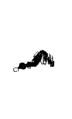 CN(C)CCCNC(=O)CC(C)(C)CN1C(=O)c2cc3oc(-c4ccc(Cl)cc4)cc3n2C1=S